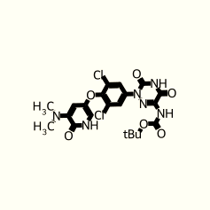 CN(C)c1cc(Oc2c(Cl)cc(-n3nc(NC(=O)OC(C)(C)C)c(=O)[nH]c3=O)cc2Cl)c[nH]c1=O